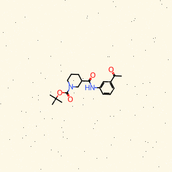 CC(=O)c1cccc(NC(=O)C2CCCN(C(=O)OC(C)(C)C)C2)c1